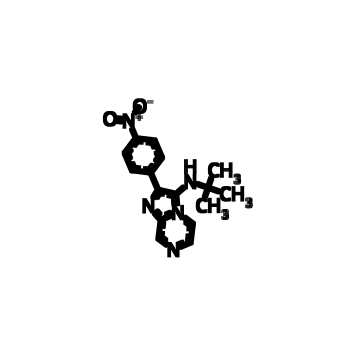 CC(C)(C)Nc1c(-c2ccc([N+](=O)[O-])cc2)nc2cnccn12